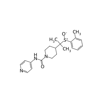 Cc1ccccc1[S+]([O-])C(C)(C)C1CCN(C(=O)Nc2ccncc2)CC1